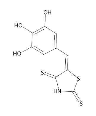 Oc1cc(C=C2SC(=S)NC2=S)cc(O)c1O